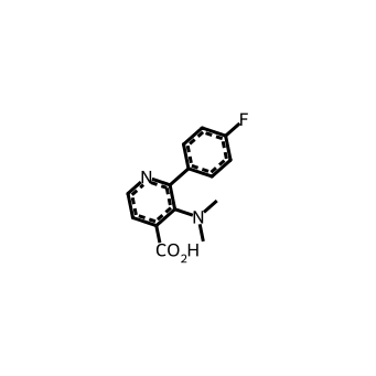 CN(C)c1c(C(=O)O)ccnc1-c1ccc(F)cc1